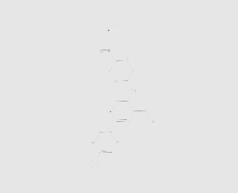 CC(C)(C)OC(=O)N1CCC(Nc2ccc(-c3ccc(S(C)(=O)=O)cc3)cc2C=N)CC1